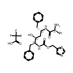 CC(C)[C@H](N)C(=O)N[C@@H](Cc1ccccc1)C[C@H](O)[C@H](Cc1ccccc1)NC(=O)OCc1cncs1.O=C(O)C(F)(F)F